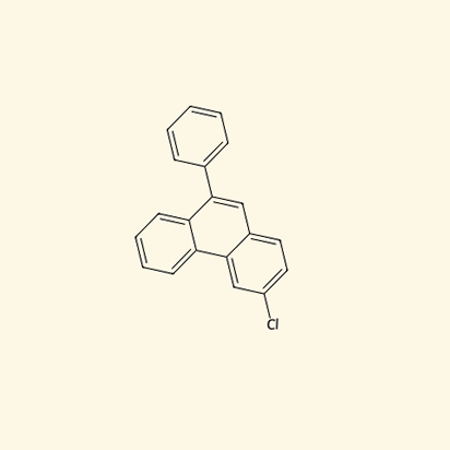 Clc1ccc2cc(-c3ccccc3)c3ccccc3c2c1